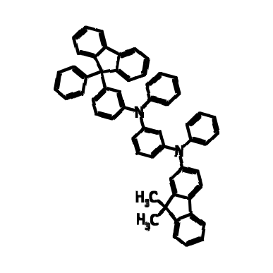 CC1(C)c2ccccc2-c2ccc(N(c3ccccc3)c3cccc(N(c4ccccc4)c4cccc(C5(c6ccccc6)c6ccccc6-c6ccccc65)c4)c3)cc21